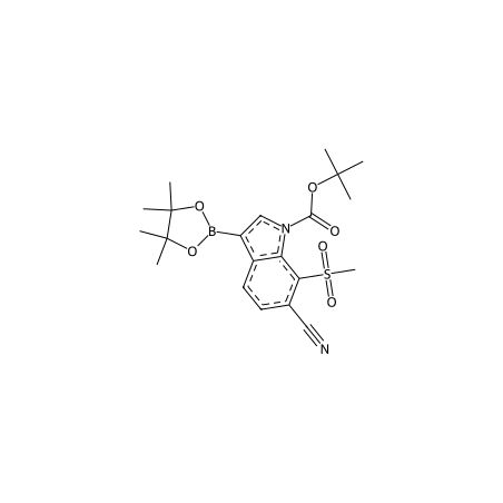 CC(C)(C)OC(=O)n1cc(B2OC(C)(C)C(C)(C)O2)c2ccc(C#N)c(S(C)(=O)=O)c21